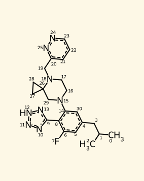 CC(C)Cc1cc(F)c(-c2nn[nH]n2)c(N2CCN(Cc3cccnn3)C3(CC3)C2)c1